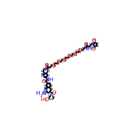 CCN(CCO)C(=O)C1=Cc2ccc(C(=O)Nc3cnc4c(c3)CN(C(=O)CCOCCOCCOCCOCCOCCOCCNC(=O)CCN3C(=O)C=CC3=O)CC4)cc2N=C(N)C1